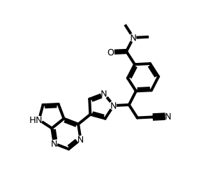 CN(C)C(=O)c1cccc(C(CC#N)n2cc(-c3ncnc4[nH]ccc34)cn2)c1